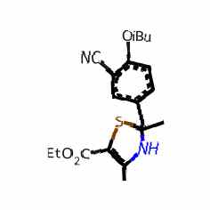 CCOC(=O)C1=C(C)NC(C)(c2ccc(OCC(C)C)c(C#N)c2)S1